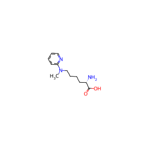 CN(CCCC[C@H](N)C(=O)O)c1ccccn1